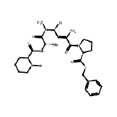 C/C(=C\[C@H](C(C)C)N(C)C(=O)[C@@H](NC(=O)C1CCCCN1C(C)C)C(C)(C)C)C(=O)N1CCC[C@H]1C(=O)OCc1ccccc1